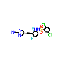 N#Cc1ncc(C#Cc2c(F)ccc(NS(=O)(=O)c3cc(Cl)ccc3Cl)c2F)cn1